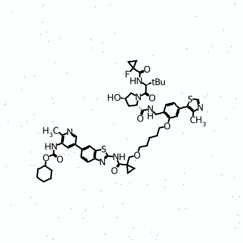 Cc1ncc(-c2ccc3nc(NC(=O)C4(COCCCCCOc5cc(-c6scnc6C)ccc5CNC(=O)[C@@H]5C[C@@H](O)CN5C(=O)[C@@H](NC(=O)C5(F)CC5)C(C)(C)C)CC4)sc3c2)cc1NC(=O)OC1CCCCC1